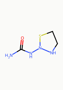 NC(=O)NN1NCCS1